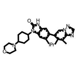 Cc1c(-c2cc3[nH]c(=O)n(C4CCC(N5CCOCC5)CC4)c3cc2C(C)C)cn2ncnc2c1C